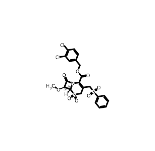 CO[C@H]1C(=O)N2C(C(=O)OCc3ccc(Cl)c(Cl)c3)=C(CS(=O)(=O)c3ccccc3)CS(=O)(=O)[C@H]12